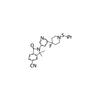 CC(C)SN1CCC(F)(c2cncc(N3C(=O)c4ccc(C#N)cc4C3(C)C)c2)CC1